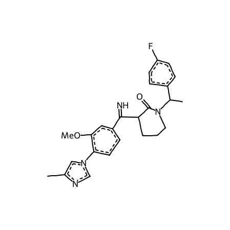 COc1cc(C(=N)C2CCCN(C(C)c3ccc(F)cc3)C2=O)ccc1-n1cnc(C)c1